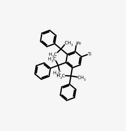 CC(C)c1[c]([Ti])cc(C(C)(C)c2ccccc2)c(C(C)(C)c2ccccc2)c1C(C)(C)c1ccccc1